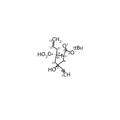 C#C[C@@]1(O)CN(C(=O)OC(C)(C)C)[C@@](CC=C)(C(=O)O)C1